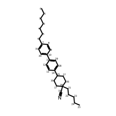 CCCCCCCc1ccc(-c2ccc(C3CCC(C#N)(CCCCC)CC3)cc2)cc1